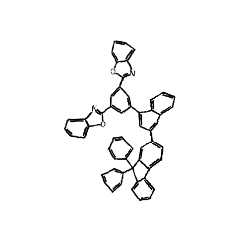 c1ccc(C2(c3ccccc3)c3ccccc3-c3ccc(-c4cc(-c5cc(-c6nc7ccccc7o6)cc(-c6nc7ccccc7o6)c5)c5ccccc5c4)cc32)cc1